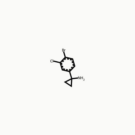 NC1(c2ccc(Br)c(Cl)c2)CC1